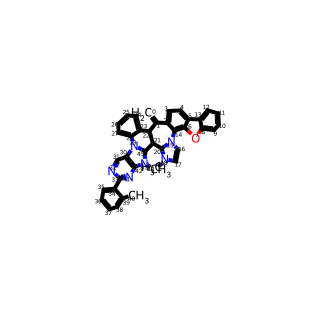 C=C1c2ccc3c(oc4ccccc43)c2N2C=CN(C)C2C2C1c1ccccc1N1c3cnc(-c4ccccc4C)nc3N(C)C21